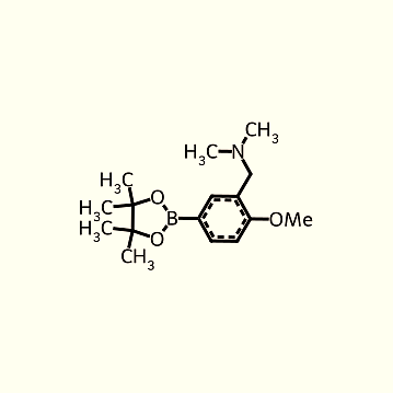 COc1ccc(B2OC(C)(C)C(C)(C)O2)cc1CN(C)C